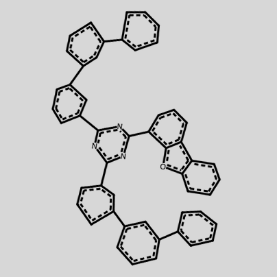 c1ccc(-c2cccc(-c3cccc(-c4nc(-c5cccc(-c6cccc(-c7ccccc7)c6)c5)nc(-c5cccc6c5oc5ccccc56)n4)c3)c2)cc1